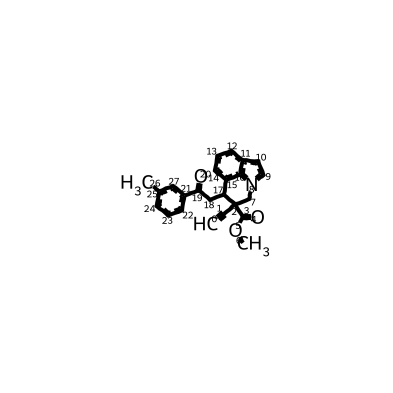 C#CC1(C(=O)OC)Cn2ccc3cccc(c32)C1CC(=O)c1cccc(C)c1